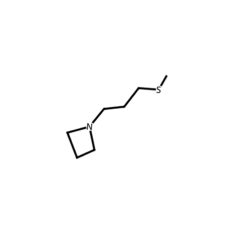 CSCCCN1CCC1